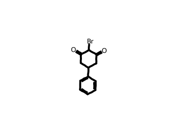 O=C1CC(c2ccccc2)CC(=O)C1Br